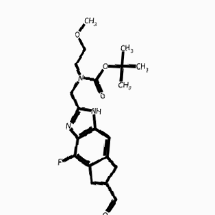 COCCN(Cc1nc2c(F)c3c(cc2[nH]1)CC(C=O)C3)C(=O)OC(C)(C)C